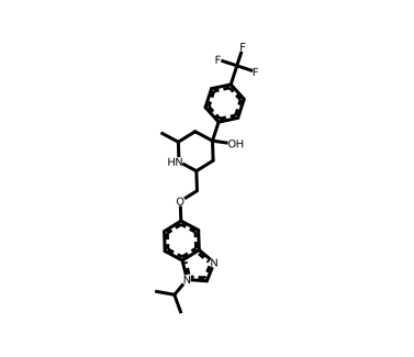 CC1CC(O)(c2ccc(C(F)(F)F)cc2)CC(COc2ccc3c(c2)ncn3C(C)C)N1